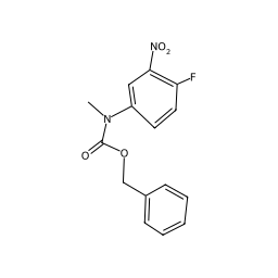 CN(C(=O)OCc1ccccc1)c1ccc(F)c([N+](=O)[O-])c1